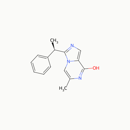 Cc1cn2c([C@H](C)c3ccccc3)ncc2c(O)n1